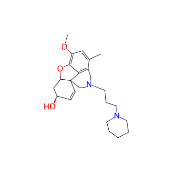 COc1cc(C)c2c3c1OC1C[C@H](O)C=CC31CCN(CCCN1CCCCC1)C2